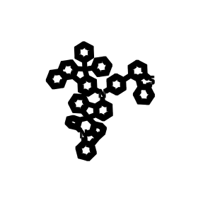 c1ccc(C2(c3ccccc3)c3cc(N(c4ccc(-c5cccc6sc7ccccc7c56)cc4)c4cccc5c4-c4ccccc4C54c5ccccc5-n5c6ccccc6c6cccc4c65)ccc3-c3c2ccc2ccccc32)cc1